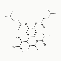 CC(C)CCC(=O)Oc1ccc(C(C(C)C(C)OC(=O)C(C)C)[C@H](N)C(=O)O)cc1OC(=O)CCC(C)C